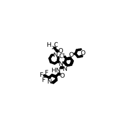 C=CC(=O)N1CCCCC(n2c(NC(=O)c3ccnc(C(F)(F)F)c3)nc3ccc(OC4CCOCC4)c(Cl)c32)C1